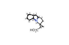 O=C(O)C1CC12CCc1cc3ccccc3n1C2